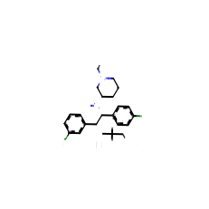 CC(C)(CC(=O)O)C[C@H](c1cccc(Cl)c1)[C@@H](c1ccc(Cl)cc1)N(C=O)[C@H]1CCCN(CC(F)(F)F)C1